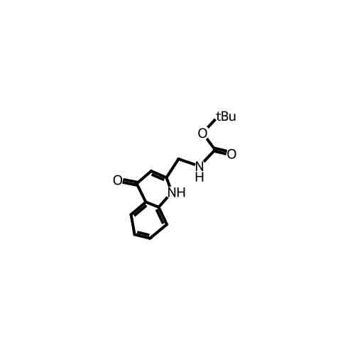 CC(C)(C)OC(=O)NCc1cc(=O)c2ccccc2[nH]1